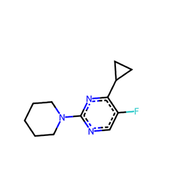 Fc1cnc(N2CCCCC2)nc1C1CC1